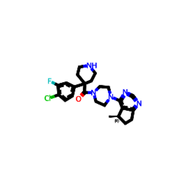 C[C@@H]1CCc2ncnc(N3CCN(C(=O)C4(c5ccc(Cl)c(F)c5)CCNCC4)CC3)c21